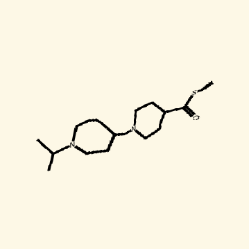 CSC(=O)C1CCN(C2CCN(C(C)C)CC2)CC1